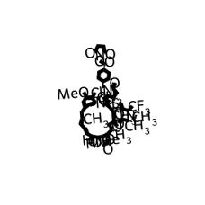 COc1cc2cc(c1Cl)N(C)C(=O)C[C@H](OC(=O)[C@H](C)N(C)C(CCSC1CC(=O)N(C[C@H]3CC[C@H](C(=O)ON4C(=O)CCC4=O)CC3)C1=O)C(F)(F)F)[C@@]1(C)CC(C)(O1)C1C[C@@](O)(NC(=O)O1)[C@H](OC)/C=C/C=C(\C)C2